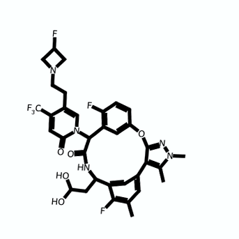 Cc1cc2cc(c1F)C(CC(O)O)NC(=O)C(n1cc(CCN3CC(F)C3)c(C(F)(F)F)cc1=O)c1cc(ccc1F)Oc1nn(C)c(C)c1-2